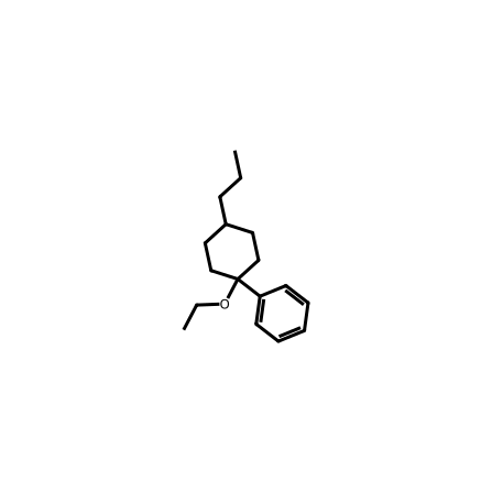 CCCC1CCC(OCC)(c2ccccc2)CC1